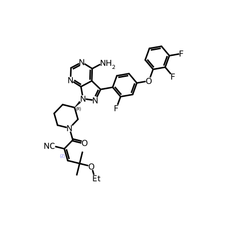 CCOC(C)(C)/C=C(/C#N)C(=O)N1CCC[C@@H](n2nc(-c3ccc(Oc4cccc(F)c4F)cc3F)c3c(N)ncnc32)C1